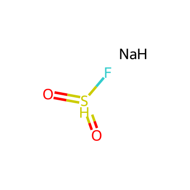 O=[SH](=O)F.[NaH]